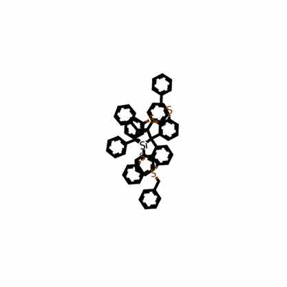 c1ccc(CSc2cccc(C3(c4cccc(SCc5ccccc5)c4Sc4ccccc4)C(c4ccccc4)=C(c4ccccc4)C(c4ccccc4)=[Si]3c3ccccc3)c2Sc2ccccc2)cc1